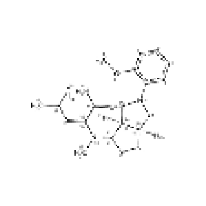 COc1ccccc1N1C[C@H]2CC[C@H](N(C)[C@@H](CC(C)C)C(N)=O)[C@H]2C1